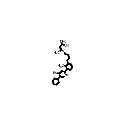 CCC1=CC(c2cccc(C/C=C\CO/C(C)=C\C(C)O)c2C)NC=C1c1ccccc1